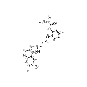 CCN(C(=O)Oc1cc(F)ccc1OCCCCNc1c([N+](=O)[O-])cnc2cc(F)c(Br)cc12)C(C)(C)C